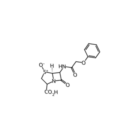 O=C(COc1ccccc1)NC1C(=O)N2C(C(=O)O)C[S+]([O-])[C@@H]12